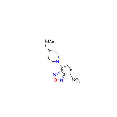 CNCC1CCN(c2ccc([N+](=O)[O-])c3nonc23)CC1